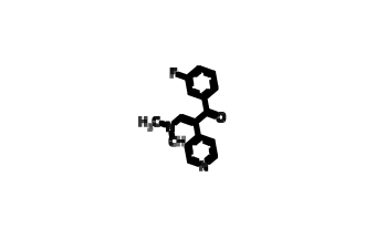 CN(C)C=C(C(=O)c1cccc(F)c1)c1ccncc1